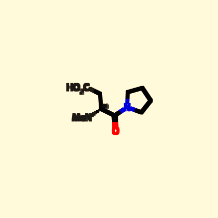 CN[C@H](CC(=O)O)C(=O)N1CCCC1